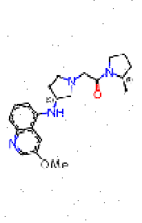 COc1cnc2cccc(N[C@H]3CCN(CC(=O)N4CCC[C@H]4C)C3)c2c1